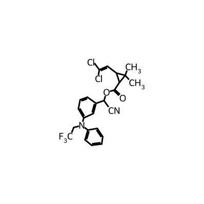 CC1(C)C(C=C(Cl)Cl)C1C(=O)OC(C#N)c1cccc(N(CC(F)(F)F)c2ccccc2)c1